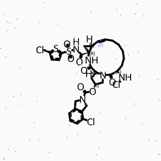 O=C1N[C@]2(C(=O)NS(=O)(=O)c3ccc(Cl)s3)C[C@H]2/C=C\CCCCC[C@H](NCl)C(=O)N2C[C@H](OC(=O)N3Cc4cccc(Cl)c4C3)C[C@@H]12